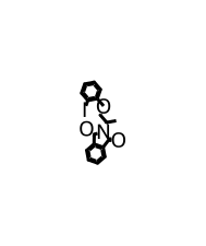 CC(COc1ccccc1I)N1C(=O)c2ccccc2C1=O